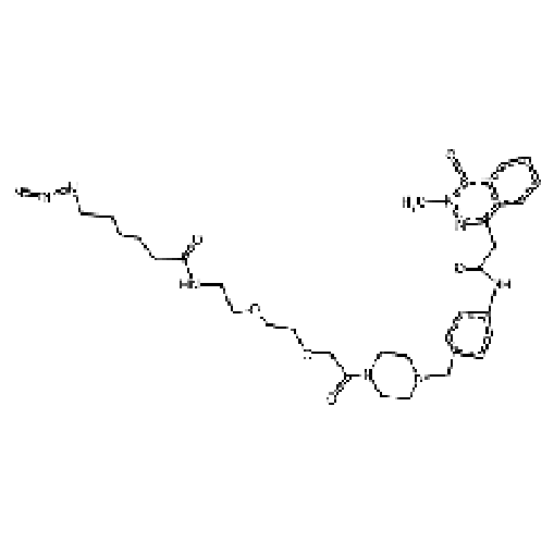 Cn1nc(CC(=O)Nc2ccc(CN3CCN(C(=O)COCCOCCNC(=O)CCCCCN=[N+]=[N-])CC3)cc2)c2ccccc2c1=O